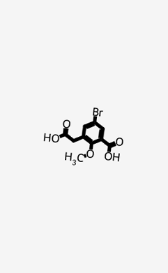 COc1c(CC(=O)O)cc(Br)cc1C(=O)O